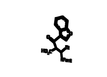 CCCCCC(CC)C(C(=O)O)C(=O)c1coc2ccccc12